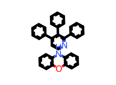 c1ccc(-c2ccnc(-c3ccccc3)c2-c2ccccc2)cc1.c1ccc2c(c1)Nc1ccccc1O2